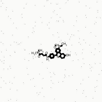 CCOc1cc2c(cc1OC)C(c1ccc(NC(=O)CCC(=O)N(C)C)cc1)=NC1CCC(O)CC21